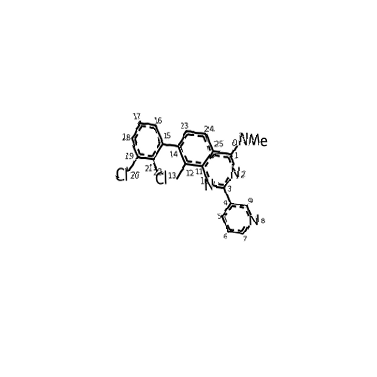 CNc1nc(-c2cccnc2)nc2c(C)c(-c3cccc(Cl)c3Cl)ccc12